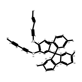 CC#CC#COc1ccc(C2(c3cc(C)ccc3C)c3cc(C)ccc3-c3ccc(C)cc32)cc1OC#CC#CC